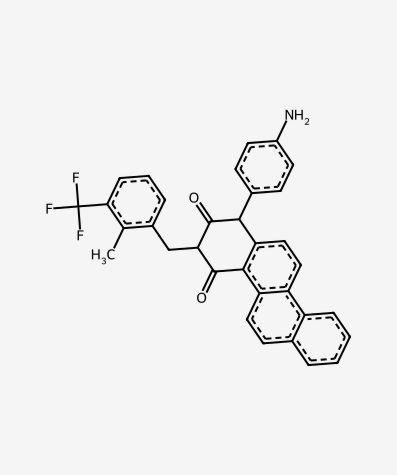 Cc1c(CC2C(=O)c3c(ccc4c3ccc3ccccc34)C(c3ccc(N)cc3)C2=O)cccc1C(F)(F)F